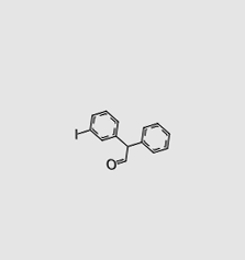 O=CC(c1ccccc1)c1cccc(I)c1